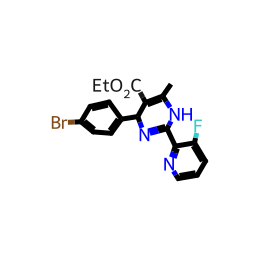 CCOC(=O)C1=C(C)NC(c2ncccc2F)=NC1c1ccc(Br)cc1